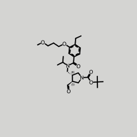 CCc1ccc(C(=O)N(C[C@@H]2CN(C(=O)OC(C)(C)C)C[C@H]2C=O)C(C)C)cc1OCCCOC